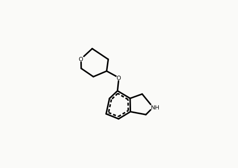 c1cc2c(c(OC3CCOCC3)c1)CNC2